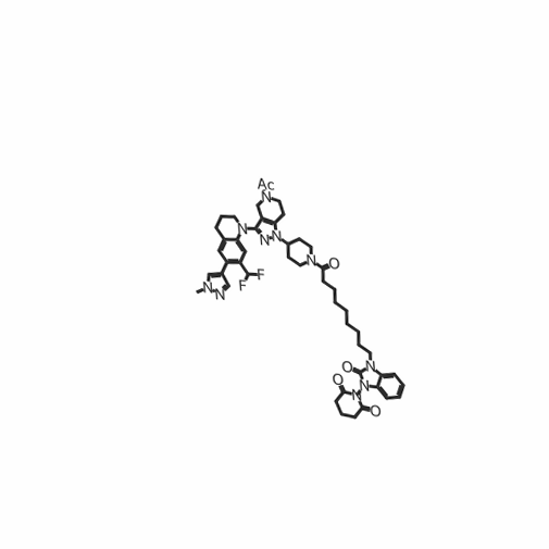 CC(=O)N1CCc2c(c(N3CCCc4cc(-c5cnn(C)c5)c(C(F)F)cc43)nn2C2CCN(C(=O)CCCCCCCCn3c(=O)n(N4C(=O)CCCC4=O)c4ccccc43)CC2)C1